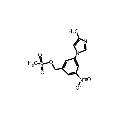 Cc1cn(-c2cc(COS(C)(=O)=O)cc([N+](=O)[O-])c2)cn1